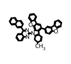 CC1C=Cc2c(n(-c3nc(-c4ccc5ccccc5c4)c4ccccc4n3)c3c2c(-c2ccc4oc5ccccc5c4c2)cc2c4ccccc4oc23)C1